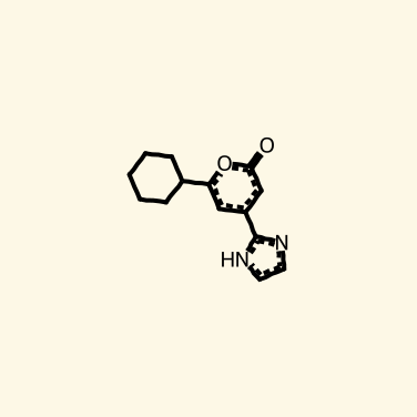 O=c1cc(-c2ncc[nH]2)cc(C2CCCCC2)o1